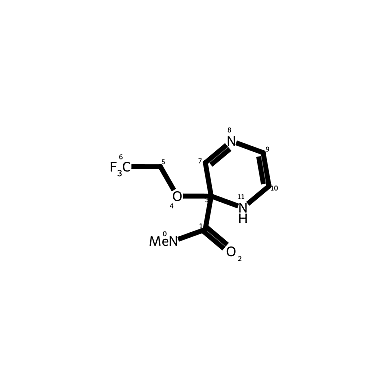 CNC(=O)C1(OCC(F)(F)F)C=NC=CN1